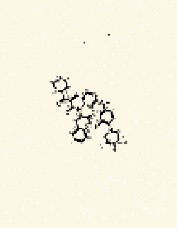 C[C@@H]1CN(c2ccc(Nc3ncc4cc(C(=O)C5CCOCC5)c(=O)n(C5Cc6ccccc6NC5=O)c4n3)cc2F)C[C@H](C)N1